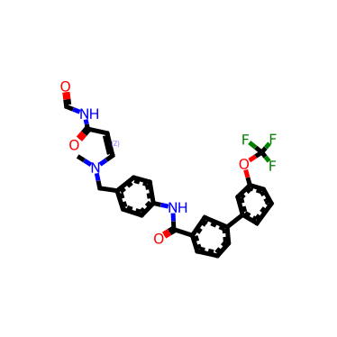 CN(/C=C\C(=O)NC=O)Cc1ccc(NC(=O)c2cccc(-c3cccc(OC(F)(F)F)c3)c2)cc1